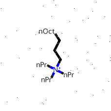 CCCCCCCCCCC[N+](CCC)(CCC)CCC